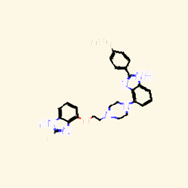 CCCCc1ccc(-c2nc3c(N4CCN(CCOc5cccc6[nH]c(C(F)(F)F)nc56)CC4)cccc3[nH]2)cc1